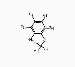 [2H]c1c([2H])c([2H])c(OC([2H])([2H])[2H])c([2H])c1[2H]